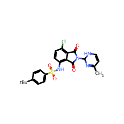 CC1=NC(N2C(=O)c3c(Cl)ccc(NS(=O)(=O)c4ccc(C(C)(C)C)cc4)c3C2=O)NC=C1